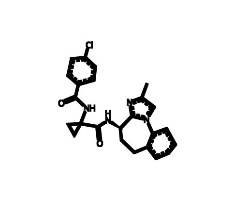 Cc1cn2c(n1)[C@H](NC(=O)C1(NC(=O)c3ccc(Cl)cc3)CC1)CCc1ccccc1-2